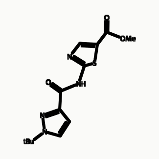 COC(=O)c1cnc(NC(=O)c2ccn(C(C)(C)C)n2)s1